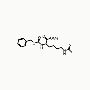 COC(=O)C(CCCCNC(C)=S)NC(=O)OCc1ccccc1